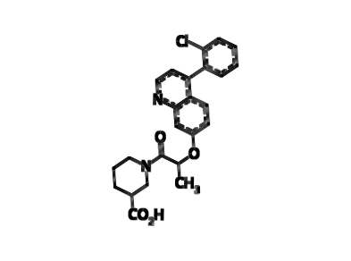 CC(Oc1ccc2c(-c3ccccc3Cl)ccnc2c1)C(=O)N1CCCC(C(=O)O)C1